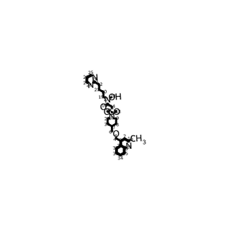 Cc1cc(COCC2CCN(S(=O)(=O)CC(=O)N(O)CCCCc3ncccn3)CC2)c2ccccc2n1